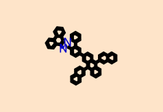 c1ccc2cc(-c3c4ccccc4c(-c4ccc5ccccc5c4)c4cc(-c5ccc6c(c5)c5ccccc5n5c6nc6c7ccccc7c7ccccc7c65)ccc34)ccc2c1